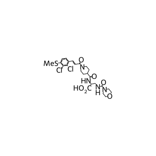 CSc1ccc(/C=C/C(=O)N2CCC(C(=O)N[C@@H](CNC(=O)N3CCOCC3)C(=O)O)CC2)c(Cl)c1Cl